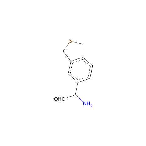 NC([C]=O)c1ccc2c(c1)CSC2